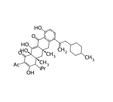 C=C(CC1CCC(C)CC1)c1ccc(O)c2c1C[C@]1(C)C[C@]3(C)C(C(C)C)C(O)=C(C(C)=O)C(=O)[C@]3(O)C(O)=C1C2=O